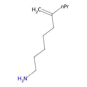 C=C(CCC)CCCCCN